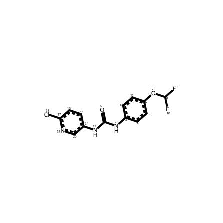 O=C(Nc1ccc(OC(F)F)cc1)Nc1ccc(Cl)nc1